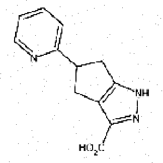 O=C(O)c1n[nH]c2c1CC(c1ccccn1)C2